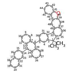 CC1(C)c2cc(-c3c4ccccc4c(-c4ccc5ccccc5c4)c4ccccc34)ccc2-c2c1ccc1cc3oc4ccccc4c3cc21